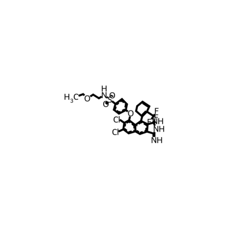 CCOCCNS(=O)(=O)c1ccc(Oc2c(Cl)c(Cl)cc3cc4c(c(C5=C(C(F)(F)F)C=CCC5)c23)C(=N)NC4=N)cc1